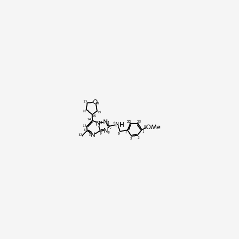 COc1ccc(CNc2nc3nc(C)cc(C4CCOC4)n3n2)cc1